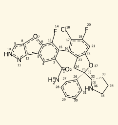 NC(=O)c1cc2c(oc3c[nH]nc32)c(F)c1-c1c(Cl)c(F)cc2c1C[C@](c1ccccc1)([C@@H]1CCCN1)O2